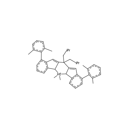 Cc1cccc(C)c1-c1cccc2c1C=C1[CH]2[Hf]([CH3])([CH3])[CH]2C(=Cc3c(-c4c(C)cccc4C)cccc32)C1(CC(C)C)CC(C)C